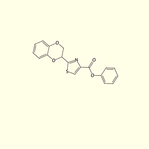 O=C(Oc1ccccc1)c1csc(C2COc3ccccc3O2)n1